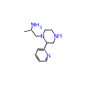 CC(N)CN1CCNCC1c1ccccn1